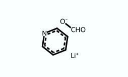 O=C[O-].[Li+].c1ccncc1